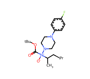 CC(C)CC(C)[N+]([O-])(C(=O)OC(C)(C)C)N1CCN(c2ccc(F)cc2)CC1